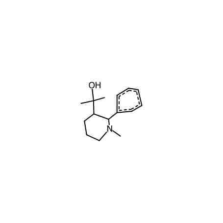 CN1CCCC(C(C)(C)O)C1c1ccccc1